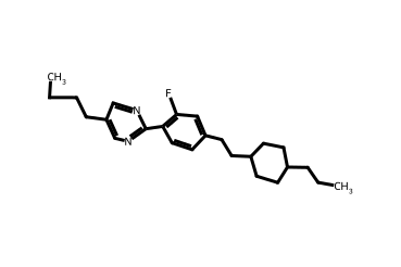 CCCCc1cnc(-c2ccc(CCC3CCC(CCC)CC3)cc2F)nc1